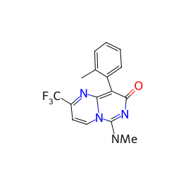 CNc1nc(=O)c(-c2ccccc2C)c2nc(C(F)(F)F)ccn12